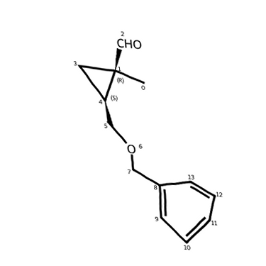 C[C@@]1(C=O)C[C@@H]1COCc1ccccc1